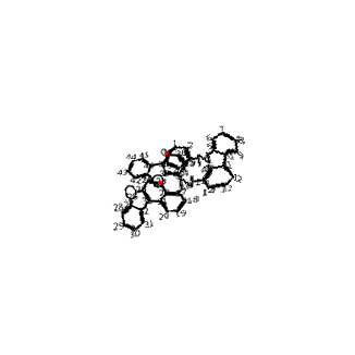 c1ccc(-n2c3ccccc3c3cccc(N(c4cccc5c4ccc4oc6ccccc6c45)c4cccc5c4oc4ccccc45)c32)cc1